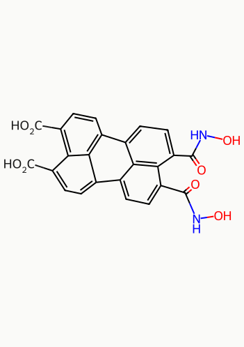 O=C(O)c1ccc2c3ccc(C(=O)NO)c4c(C(=O)NO)ccc(c5ccc(C(=O)O)c1c25)c43